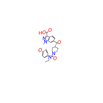 CCN(C(=O)N1CCC(C(=O)c2ccc3c(C(=O)O)nn(C)c3c2)CC1)c1ccc(OC)cc1